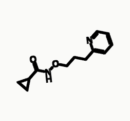 O=C(NOCCCc1ccccn1)C1CC1